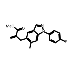 C=C(Cc1cc2cnn(-c3ccc(F)cc3)c2cc1C)C(=O)OC